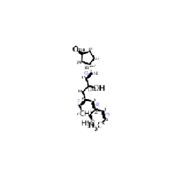 C=CC(/C=C\C)=C\C(=C/C)CC(O)/C=C/[C@H]1CCC(=O)C1